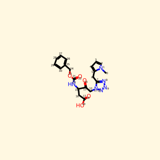 Cn1cccc1Cc1nnnn1CC(=O)C(CC(=O)O)NC(=O)OCc1ccccc1